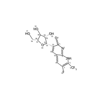 O=c1nc2[nH]c(C(F)(F)F)c(F)cc-2cc1[C@@H]1O[C@H](CO)C(O)[C@@H]1O